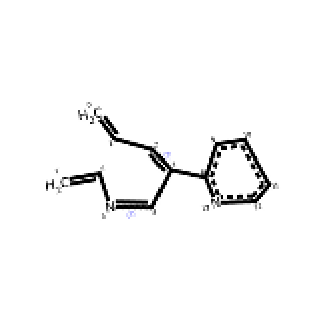 C=C/C=C(\C=N/C=C)c1ccccn1